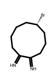 N=C1CCCC[C@H](Br)CCCC1=N